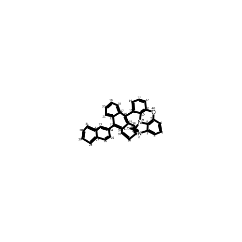 CCc1nc2cccc3c2n1-c1c(cccc1-c1c2ccccc2c(-c2ccc4ccccc4c2)c2ccccc12)O3